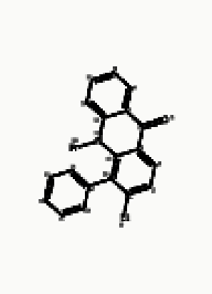 CCc1ccc2c(=O)c3ccccc3n(C(C)C)c2c1-c1ccccc1